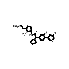 Cc1c(CCC(=O)O)cccc1NC(=O)C(c1ccc(-c2cncc(Cl)c2)c(Cl)c1)C1CCCC1